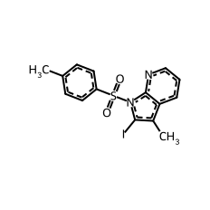 Cc1ccc(S(=O)(=O)n2c(I)c(C)c3cccnc32)cc1